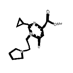 COC(=O)c1cc(=O)n(CCN2CCCC2)c(C2CC2)n1